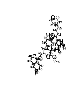 CCOC(=O)c1[nH]c2c(-c3c(C(O)CCCN4CCOCC4)nn(C)c3CC)c(Cl)ccc2c1CCCOc1cccc2cc(F)ccc12